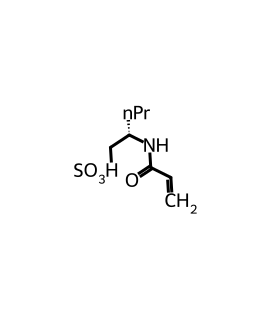 C=CC(=O)N[C@@H](CCC)CS(=O)(=O)O